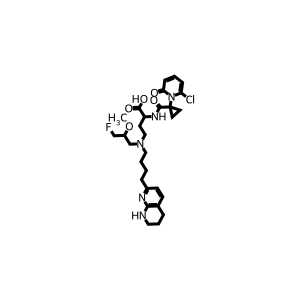 COC(CF)CN(CCCCc1ccc2c(n1)NCCC2)CCC(NC(=O)C1(n2c(Cl)cccc2=O)CC1)C(=O)O